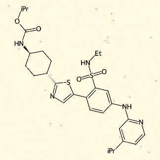 CCNS(=O)(=O)c1cc(Nc2cc(C(C)C)ccn2)ccc1-c1cnc([C@H]2CC[C@H](NC(=O)OC(C)C)CC2)s1